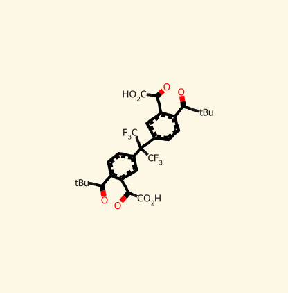 CC(C)(C)C(=O)c1ccc(C(c2ccc(C(=O)C(C)(C)C)c(C(=O)C(=O)O)c2)(C(F)(F)F)C(F)(F)F)cc1C(=O)C(=O)O